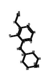 Cc1c(CCl)ncnc1OC1CCNCC1